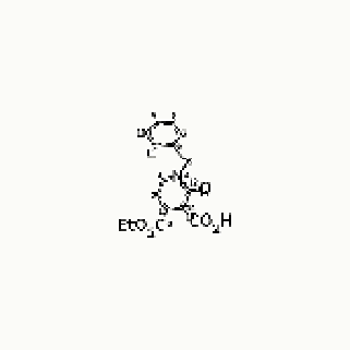 CCOC(=O)c1ccn(Cc2ccccc2)c(=O)c1C(=O)O